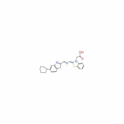 O=C(O)CN1/C(=C/N=CC2=Nc3cc(C4CCCCC4)ccc3C2)Sc2ccccc21